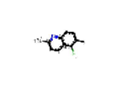 Cc1ccc2nc(C(C)(C)C)ccc2c1F